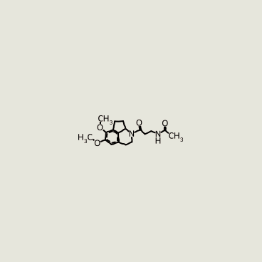 COc1cc2c3c(c1OC)CCC3N(C(=O)CCNC(C)=O)CC2